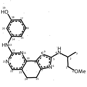 COCC(C)Nc1nc2c(s1)-c1nc(Nc3cccc(O)c3)ncc1CC2